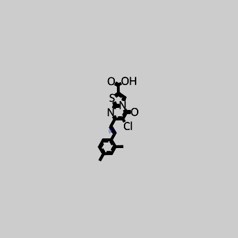 Cc1ccc(/C=C/c2nc3sc(C(=O)O)cn3c(=O)c2Cl)c(C)c1